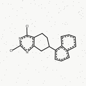 Clc1nc(Cl)c2c(n1)CC(c1cccc3ccccc13)CC2